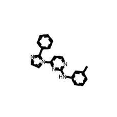 Cc1cccc(Nc2nccc(-n3ccnc3-c3ccccc3)n2)c1